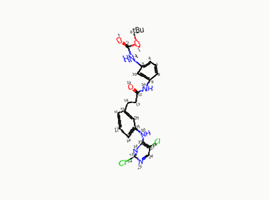 CC(C)(C)OC(=O)Nc1cccc(NC(=O)CCc2cccc(Nc3nc(Cl)ncc3Cl)c2)c1